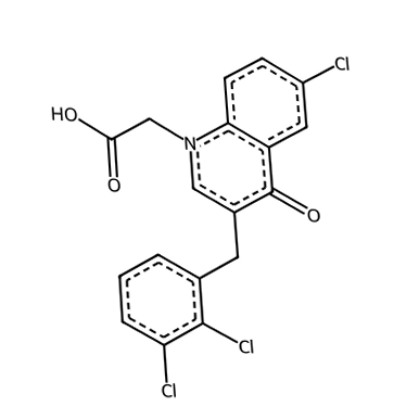 O=C(O)Cn1cc(Cc2cccc(Cl)c2Cl)c(=O)c2cc(Cl)ccc21